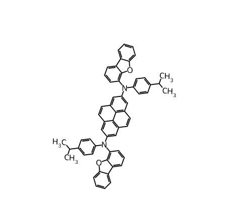 CC(C)c1ccc(N(c2cc3ccc4cc(N(c5ccc(C(C)C)cc5)c5cccc6c5oc5ccccc56)cc5ccc(c2)c3c45)c2cccc3c2oc2ccccc23)cc1